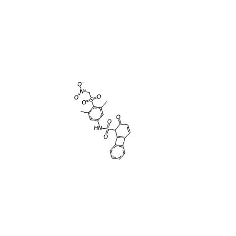 Cc1cc(NS(=O)(=O)C2C(=O)C=CC3=C2c2ccccc23)cc(C)c1S(=O)(=O)C[N+](=O)[O-]